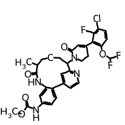 COC(=O)Nc1ccc2c(c1)NC(=O)C(C)CCCC(N1CCC(c3c(OC(F)F)ccc(Cl)c3F)=CC1=O)c1cc-2ccn1